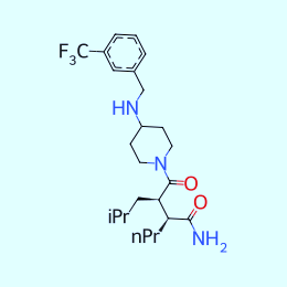 CCC[C@H](C(N)=O)[C@@H](CC(C)C)C(=O)N1CCC(NCc2cccc(C(F)(F)F)c2)CC1